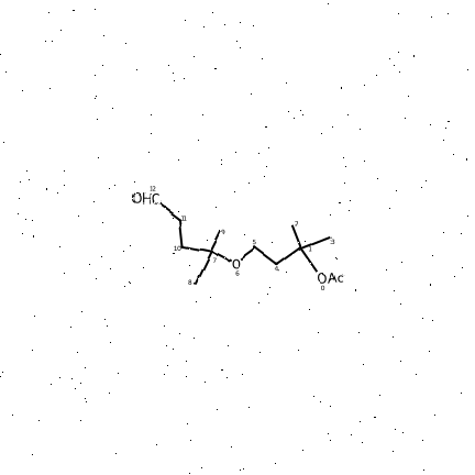 CC(=O)OC(C)(C)CCOC(C)(C)CCC=O